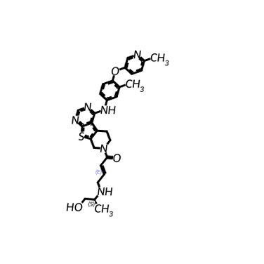 Cc1ccc(Oc2ccc(Nc3ncnc4sc5c(c34)CCN(C(=O)/C=C/CN[C@@H](C)CO)C5)cc2C)cn1